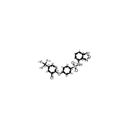 O=S(=O)(Nc1cccc2nonc12)c1ccc(Oc2ncc(C(F)(F)F)cc2Cl)cc1